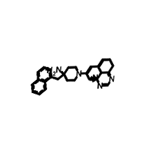 NC1(Cc2cccc3ccccc23)CCN(C2=CC3=CCCC4=NC=NC5(N=CC=C25)C34)CC1